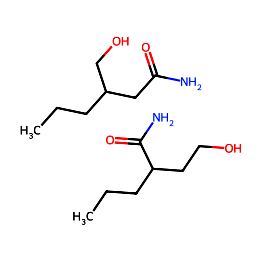 CCCC(CCO)C(N)=O.CCCC(CO)CC(N)=O